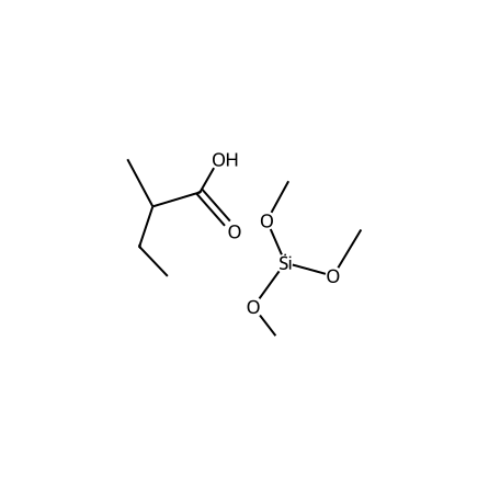 CCC(C)C(=O)O.CO[Si](OC)OC